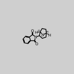 CN1[C@H]2CCC(N3C(=O)c4ccccc4C3=O)[C@@H]1CC2